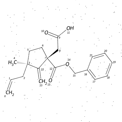 C=CC[C@@]1(C)CC[C@](CC(=O)O)(C(=O)OCc2ccccc2)C1=C